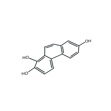 Oc1ccc2c(ccc3c(O)c(O)ccc32)c1